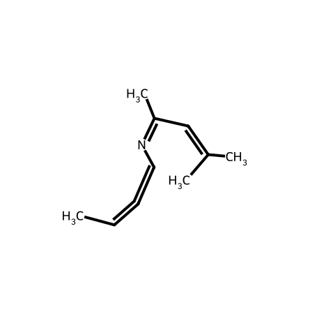 CC=C=C/N=C(/C)C=C(C)C